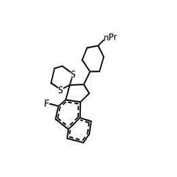 CCCC1CCC(C2Cc3c(c(F)cc4ccccc34)C23SCCCS3)CC1